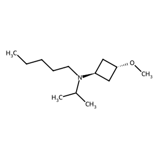 CCCCCN(C(C)C)[C@H]1C[C@H](OC)C1